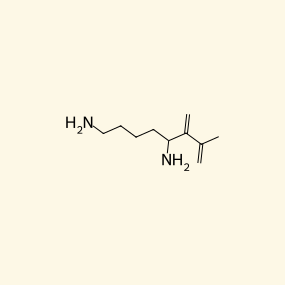 C=C(C)C(=C)C(N)CCCCN